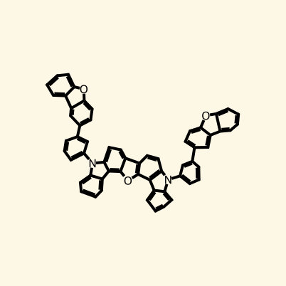 c1cc(-c2ccc3oc4ccccc4c3c2)cc(-n2c3ccccc3c3c4oc5c(ccc6c5c5ccccc5n6-c5cccc(-c6ccc7oc8ccccc8c7c6)c5)c4ccc32)c1